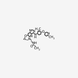 C=CC(=O)NCCN1CC2CC2Oc2cc3ncnc(Nc4ccc(Oc5ccc(C)nc5)c(C)c4)c3nc21